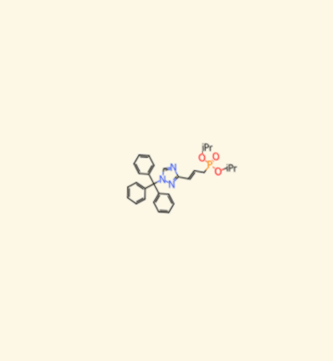 CC(C)OP(=O)(C/C=C/c1ncn(C(c2ccccc2)(c2ccccc2)c2ccccc2)n1)OC(C)C